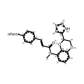 CCCCCc1ccc(C=CC(=O)N(C)c2cccc3c2OC(c2nnn[nH]2)CO3)cc1